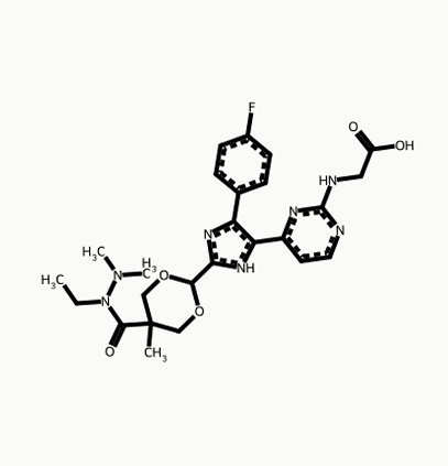 CCN(C(=O)C1(C)COC(c2nc(-c3ccc(F)cc3)c(-c3ccnc(NCC(=O)O)n3)[nH]2)OC1)N(C)C